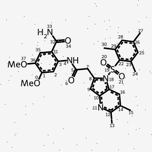 COc1cc(NC(=O)Cc2cc3nc(C)c(C)cc3n2S(=O)(=O)c2c(C)cc(C)cc2C)c(C(N)=O)cc1OC